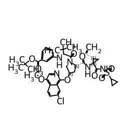 C=C[C@@H]1C[C@]1(NC(=O)[C@@H]1C[C@@H](Oc2ncc(OC)c3ccc(Cl)cc23)CN1C(=O)C(Nc1cccc(C(=O)OC(C)(C)C)c1)C(C)(C)C)C(=O)NS(=O)(=O)C1CC1